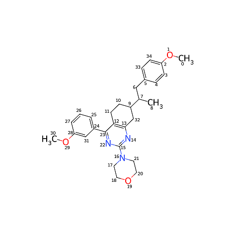 COc1ccc(CC(C)C2CCc3c(nc(N4CCOCC4)nc3-c3cccc(OC)c3)C2)cc1